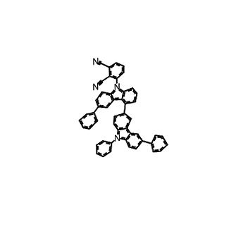 N#Cc1cccc(-n2c3ccc(-c4ccccc4)cc3c3c(-c4ccc5c(c4)c4cc(-c6ccccc6)ccc4n5-c4ccccc4)cccc32)c1C#N